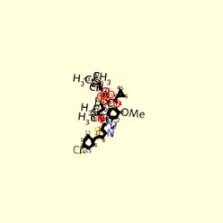 COc1cc(-n2cnc3cc(-c4ccc(Cl)cc4)sc3c2=O)ccc1OC(C)(OP(=O)(OCC[Si](C)(C)C)OCC[Si](C)(C)C)C1CC1